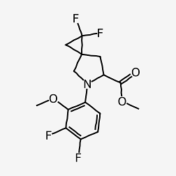 COC(=O)C1CC2(CN1c1ccc(F)c(F)c1OC)CC2(F)F